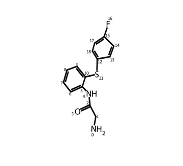 NCC(=O)Nc1ccccc1Sc1ccc(F)cc1